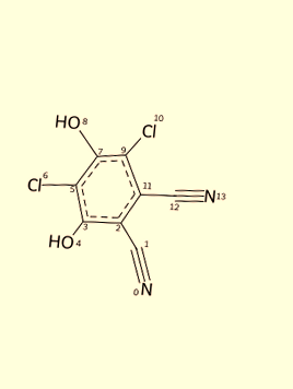 N#Cc1c(O)c(Cl)c(O)c(Cl)c1C#N